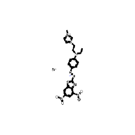 CCN(CCn1cc[n+](C)c1)c1ccc(/N=N/c2nc3c([N+](=O)[O-])cc([N+](=O)[O-])cc3s2)cc1.[Br-]